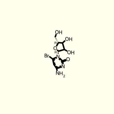 Nc1cc(Br)n([C@@H]2O[C@H](CO)C(O)C2O)c(=O)n1